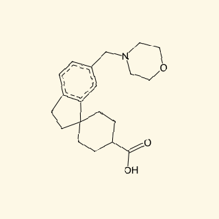 O=C(O)C1CCC2(CCc3ccc(CN4CCOCC4)cc32)CC1